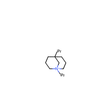 CC(C)C12CCC[N+](C(C)C)(CCC1)C2